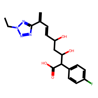 C=C(C=CC(O)CC(O)C(C(=O)O)c1ccc(F)cc1)c1nnn(CC)n1